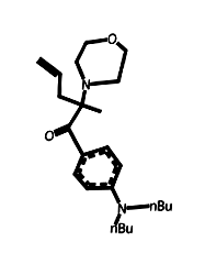 C=CCC(C)(C(=O)c1ccc(N(CCCC)CCCC)cc1)N1CCOCC1